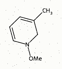 CON1C=CC=C(C)C1